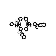 c1ccc(-c2nc(-c3cccc(-c4cccc(-c5nc(-c6ccccc6)nc(-c6ccc7c(c6)oc6cc8ccccc8cc67)n5)c4)c3)cc(-c3ccc4c(c3)oc3cc5ccccc5cc34)n2)cc1